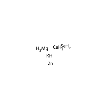 [CaH2].[KH].[MgH2].[SeH2].[Zn]